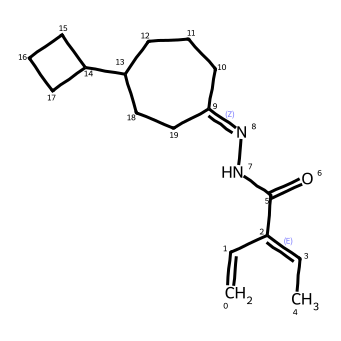 C=C/C(=C\C)C(=O)N/N=C1/CCCC(C2CCC2)CC1